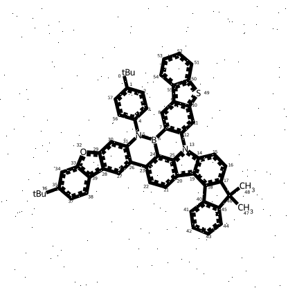 CC(C)(C)c1ccc(N2B3c4cc5c(cc4-n4c6ccc7c(c6c6ccc(c3c64)-c3cc4c(cc32)oc2cc(C(C)(C)C)ccc24)-c2ccccc2C7(C)C)sc2ccccc25)cc1